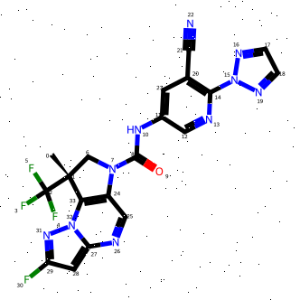 C[C@@]1(C(F)(F)F)CN(C(=O)Nc2cnc(-n3nccn3)c(C#N)c2)c2cnc3cc(F)nn3c21